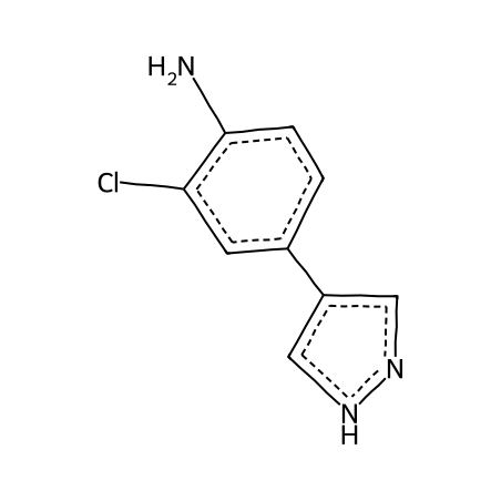 Nc1ccc(-c2cn[nH]c2)cc1Cl